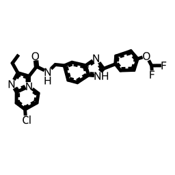 CCc1nc2cc(Cl)ccn2c1C(=O)NCc1ccc2[nH]c(-c3ccc(OC(F)F)cc3)nc2c1